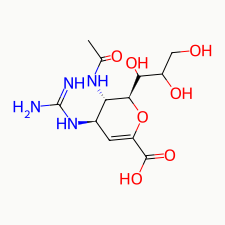 CC(=O)N[C@@H]1[C@@H](C(O)C(O)CO)OC(C(=O)O)=C[C@H]1NC(=N)N